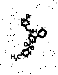 Cn1cnc(S(=O)(=O)N2C[C@H](NCc3cnc(Br)s3)[C@@H](c3ccccc3)C2)c1